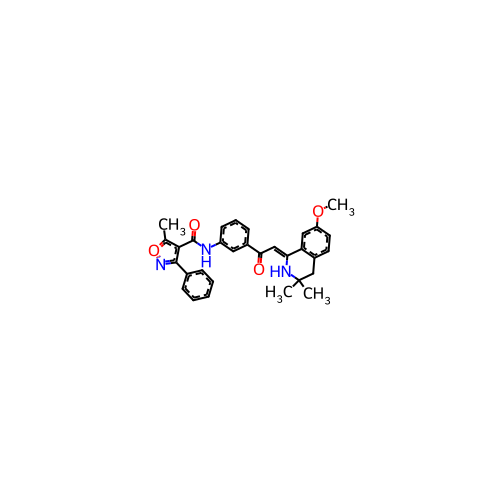 COc1ccc2c(c1)C(=CC(=O)c1cccc(NC(=O)c3c(-c4ccccc4)noc3C)c1)NC(C)(C)C2